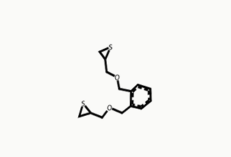 c1ccc(COCC2CS2)c(COCC2CS2)c1